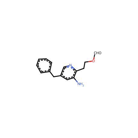 Nc1cc(Cc2ccccc2)cnc1CCOC=O